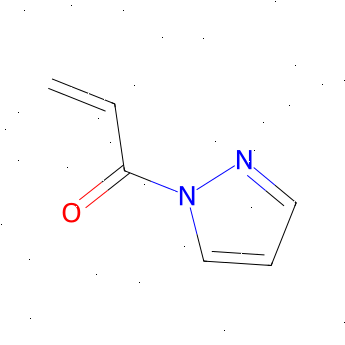 C=CC(=O)n1cccn1